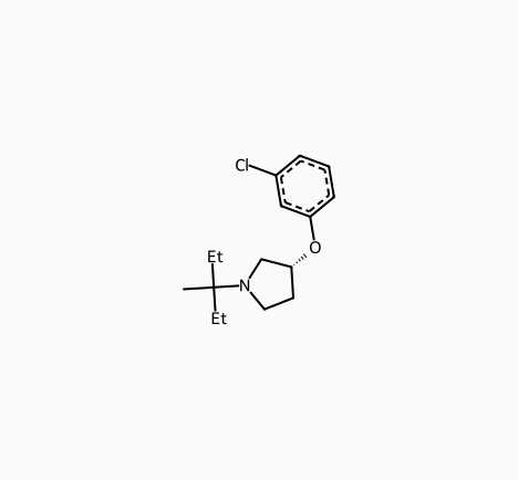 CCC(C)(CC)N1CC[C@@H](Oc2cccc(Cl)c2)C1